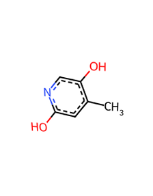 Cc1cc(O)ncc1O